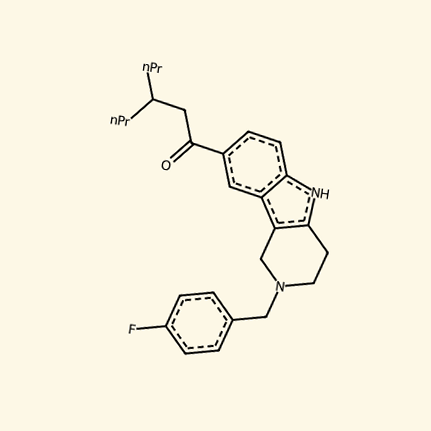 CCCC(CCC)CC(=O)c1ccc2[nH]c3c(c2c1)CN(Cc1ccc(F)cc1)CC3